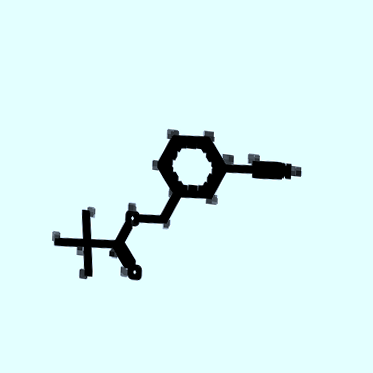 CC(C)(C)C(=O)OCc1cccc(C#N)c1